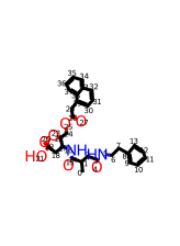 CC(CC(=O)NCCc1ccccc1)C(=O)NC(CC(=O)O)C(=O)COC(=O)Cc1cccc2ccccc12